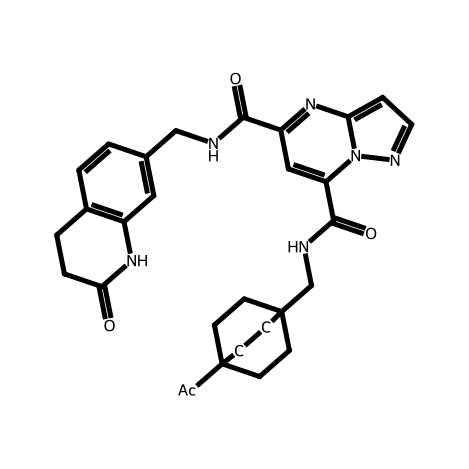 CC(=O)C12CCC(CNC(=O)c3cc(C(=O)NCc4ccc5c(c4)NC(=O)CC5)nc4ccnn34)(CC1)CC2